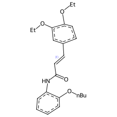 CCCCOc1ccccc1NC(=O)/C=C/c1ccc(OCC)c(OCC)c1